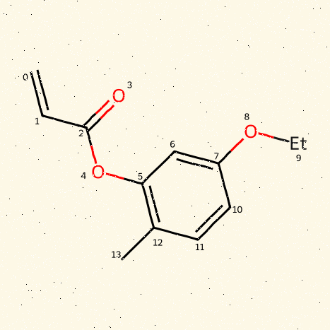 C=CC(=O)Oc1cc(OCC)ccc1C